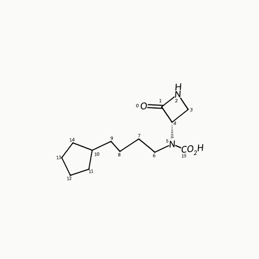 O=C1NC[C@@H]1N(CCCCC1CCCC1)C(=O)O